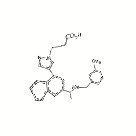 COc1cccc(CNC(C)c2cc(-c3cnn(CCC(=O)O)c3)c3ccccc3c2)c1